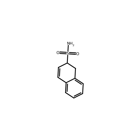 NS(=O)(=O)C1C=Cc2ccccc2C1